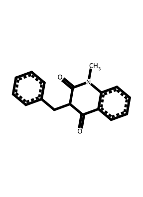 CN1C(=O)C(Cc2ccccc2)C(=O)c2ccccc21